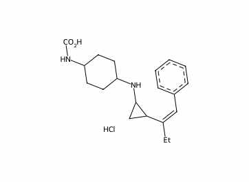 CCC(=Cc1ccccc1)C1CC1NC1CCC(NC(=O)O)CC1.Cl